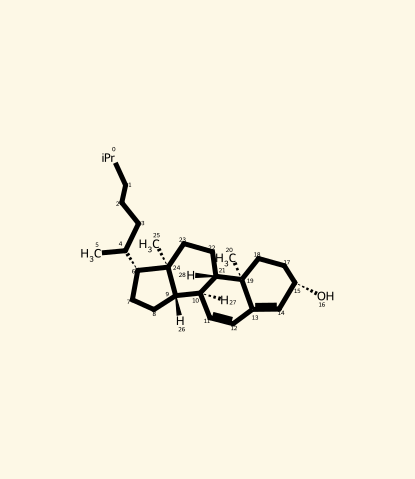 CC(C)CCCC(C)[C@H]1CC[C@H]2[C@@H]3C=CC4=C[C@@H](O)CC[C@]4(C)[C@H]3CC[C@]12C